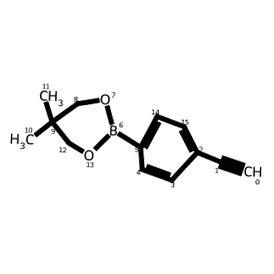 C#Cc1ccc(B2OCC(C)(C)CO2)cc1